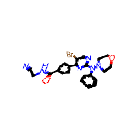 N#CCNC(=O)c1ccc(-c2nc(N(c3ccccc3)N3CCOCC3)ncc2Br)cc1